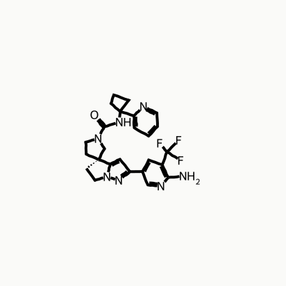 Nc1ncc(-c2cc3n(n2)CC[C@@]32CCN(C(=O)NC3(c4ccccn4)CCC3)C2)cc1C(F)(F)F